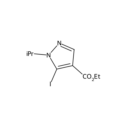 CCOC(=O)c1cnn(C(C)C)c1I